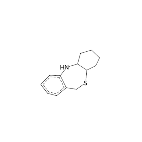 c1ccc2c(c1)CSC1CCCCC1N2